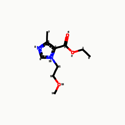 CCOC(=O)c1c(C)ncn1CCOC